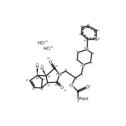 CCCCCC(=O)OC(CN1CCN(c2ccccn2)CC1)CN1C(=O)C2C3C=C[C@@H](C3)[C@@H]2C1=O.Cl.Cl